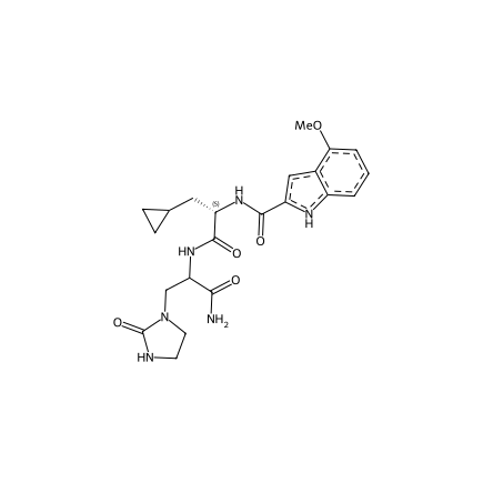 COc1cccc2[nH]c(C(=O)N[C@@H](CC3CC3)C(=O)NC(CN3CCNC3=O)C(N)=O)cc12